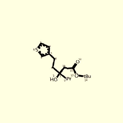 CC(C)C(O)(CCc1ccsc1)CC(=O)OC(C)(C)C